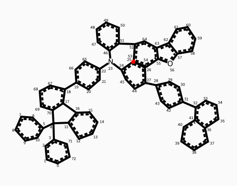 c1ccc(C2(c3ccccc3)c3ccccc3-c3c(-c4ccc(N(c5ccc(-c6ccc(-c7cccc8ccccc78)cc6)cc5)c5ccccc5-c5ccc6oc7ccccc7c6c5)cc4)cccc32)cc1